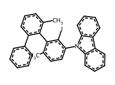 Cc1cccc(-c2ccccc2)c1-c1c(C)ccc(-n2c3ccccc3c3ccccc32)c1I